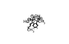 CC(C)c1ccccc1.CCCCCCCC(=O)O.N.OO.[Zn]